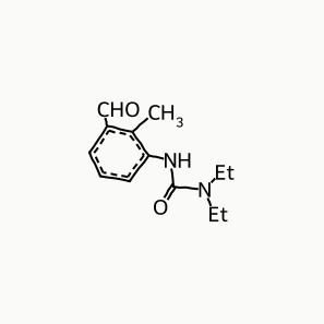 CCN(CC)C(=O)Nc1cccc(C=O)c1C